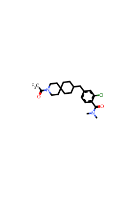 CN(C)C(=O)c1ccc(CC2CCC3(CC2)CCN(C(=O)C(F)(F)F)CC3)cc1Cl